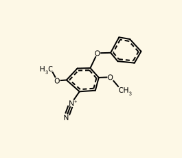 COc1cc(Oc2ccccc2)c(OC)cc1[N+]#N